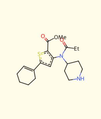 CCC(=O)N(c1cc(C2=CCCCC2)sc1C(=O)OC)C1CCNCC1